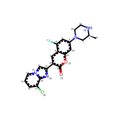 C[C@H]1CN(c2cc(F)c3cc(-c4cn5cccc(Cl)c5n4)c(=O)oc3c2)CCN1